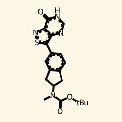 CN(C(=O)OC(C)(C)C)C1Cc2ccc(-c3snc4c(=O)[nH]cnc34)cc2C1